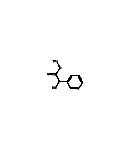 CC(C)(C)OC(=O)C(O)c1ccccc1